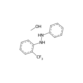 CO.FC(F)(F)c1ccccc1NNc1ccccc1